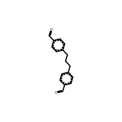 O=Cc1ccc(CCCc2ccc(C=O)cc2)cc1